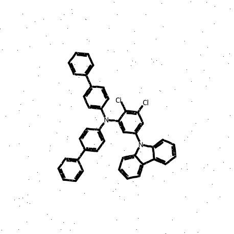 Clc1cc(-n2c3ccccc3c3ccccc32)cc(N(c2ccc(-c3ccccc3)cc2)c2ccc(-c3ccccc3)cc2)c1Cl